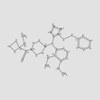 COc1cccc(C(c2nnnn2CCc2ccccc2)N2CCN(C(=O)C3(OC)CCC3)CC2)c1OC